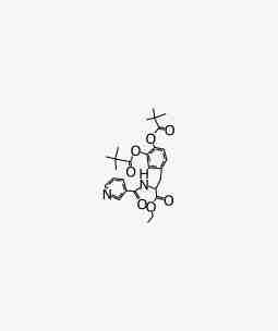 CCOC(=O)C(Cc1ccc(OC(=O)C(C)(C)C)c(OC(=O)C(C)(C)C)c1)NC(=O)c1cccnc1